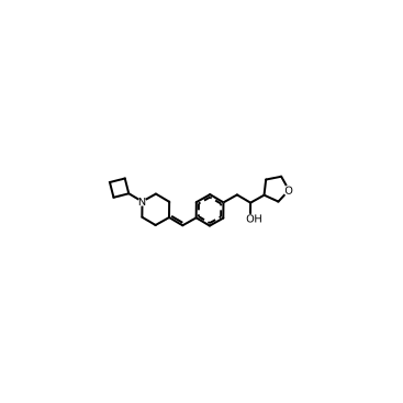 OC(Cc1ccc(C=C2CCN(C3CCC3)CC2)cc1)C1CCOC1